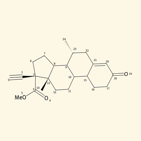 C#C[C@@]1(C(=O)OC)CCC2C3C(CC[C@@]21C)C1CCC(=O)C=C1C[C@H]3C